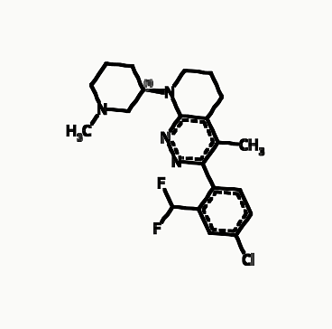 Cc1c(-c2ccc(Cl)cc2C(F)F)nnc2c1CCCN2[C@@H]1CCCN(C)C1